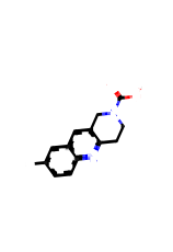 COC(=O)N1CCc2nc3ccc(C)cc3cc2C1